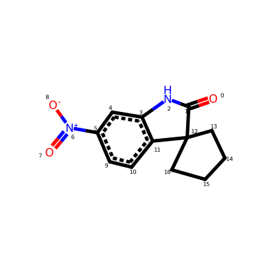 O=C1Nc2cc([N+](=O)[O-])ccc2C12CCCC2